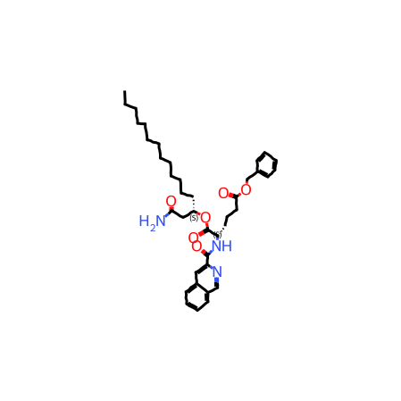 CCCCCCCCCCCCC[C@@H](CC(N)=O)OC(=O)[C@H](CCCC(=O)OCc1ccccc1)NC(=O)c1cc2ccccc2cn1